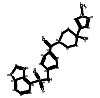 Cn1cc(C2(O)CCN(C(=O)c3ccc(NS(=O)(=O)c4cccc5scnc45)cc3)CC2)cn1